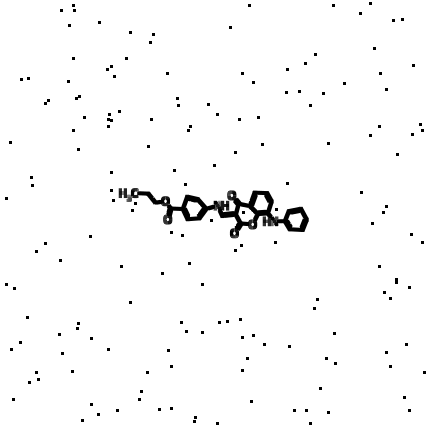 CCCOC(=O)c1ccc(NC=C2C(=O)Oc3c(Nc4ccccc4)cccc3C2=O)cc1